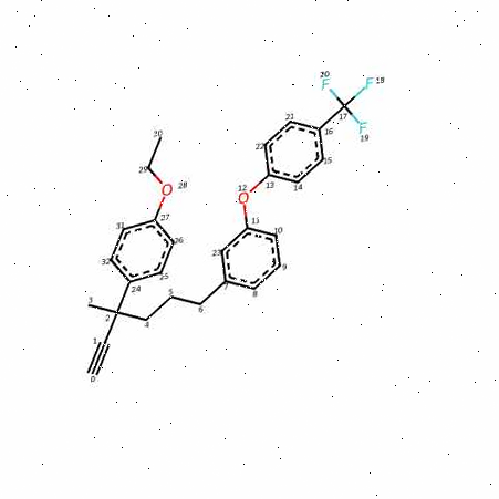 C#CC(C)(CCCc1cccc(Oc2ccc(C(F)(F)F)cc2)c1)c1ccc(OCC)cc1